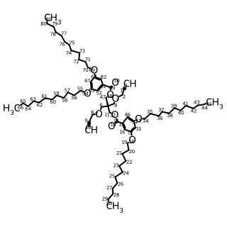 C#CCOCC(COCC#C)(COC(=O)c1cc(OCCCCCCCCCCCC)cc(OCCCCCCCCCCCC)c1)COC(=O)c1cc(OCCCCCCCCCCCC)cc(OCCCCCCCCCCCC)c1